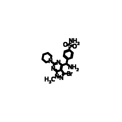 Cn1nc(Br)c2c(C(N)c3ccc(S(N)(=O)=O)cc3)nc(N3CCCCC3)nc21